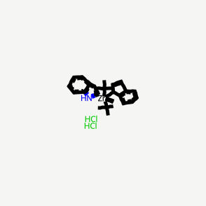 Cl.Cl.[CH2]=[Zr]([c]1cc2ccccc2[nH]1)([CH]1C=Cc2ccccc21)([C](C)(C)C)[C](C)(C)C